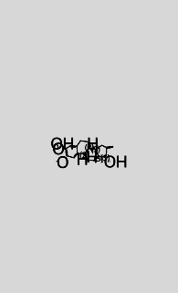 C=C1C[C@H]2[C@@H]3CCc4cc(OO)c(OC)cc4[C@H]3CC[C@]2(C)[C@H]1O